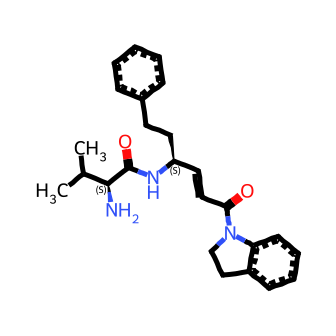 CC(C)[C@H](N)C(=O)N[C@H](C=CC(=O)N1CCc2ccccc21)CCc1ccccc1